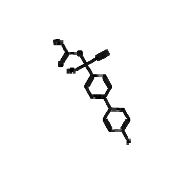 C#CC(CCC)(OC(=O)C(C)(C)C)c1ccc(-c2ccc(F)cc2)cc1